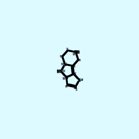 C1=NSC2=C3CNCCN3NN12